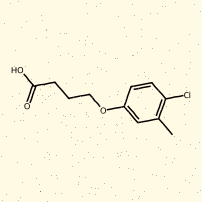 Cc1cc(OCCCC(=O)O)ccc1Cl